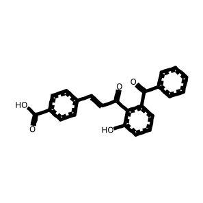 O=C(O)c1ccc(/C=C/C(=O)c2c(O)cccc2C(=O)c2ccccc2)cc1